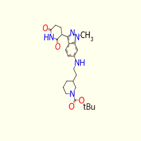 Cn1nc(C2CCC(=O)NC2=O)c2ccc(NCCC3CCCN(C(=O)OC(C)(C)C)C3)cc21